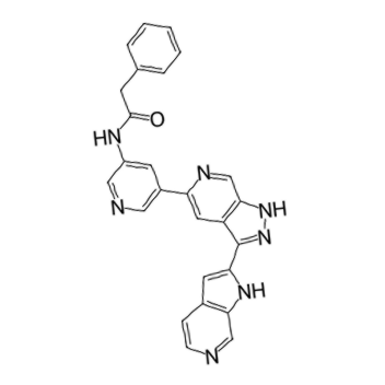 O=C(Cc1ccccc1)Nc1cncc(-c2cc3c(-c4cc5ccncc5[nH]4)n[nH]c3cn2)c1